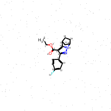 CCOC(=O)c1c(-c2ccc(F)cc2)nn2c1C1CCC2C1